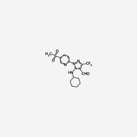 CS(=O)(=O)c1ccc(-n2nc(C(F)(F)F)c(C=O)c2NC2CCCCC2)nc1